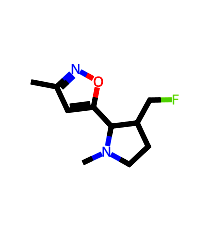 Cc1cc(C2C(CF)CCN2C)on1